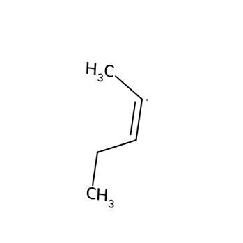 C/[C]=C\CC